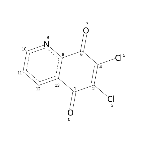 O=C1C(Cl)=C(Cl)C(=O)c2ncccc21